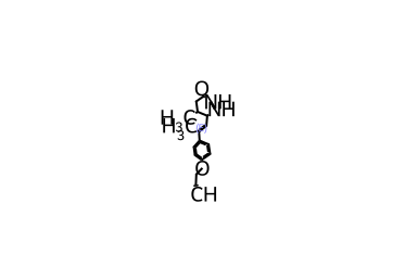 C#CCOc1ccc(/C(C)=C/C2NNC(=O)CC2C)cc1